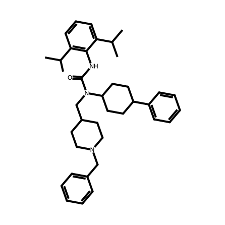 CC(C)c1cccc(C(C)C)c1NC(=O)N(CC1CCN(Cc2ccccc2)CC1)C1CCC(c2ccccc2)CC1